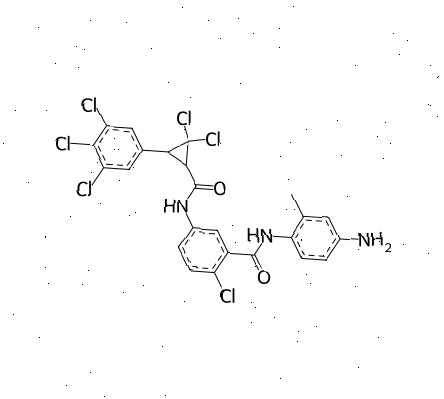 Cc1cc(N)ccc1NC(=O)c1cc(NC(=O)C2C(c3cc(Cl)c(Cl)c(Cl)c3)C2(Cl)Cl)ccc1Cl